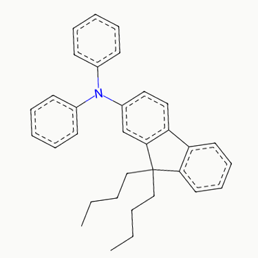 CCCCC1(CCCC)c2ccccc2-c2ccc(N(c3ccccc3)c3ccccc3)cc21